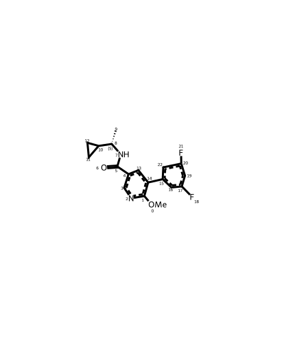 COc1ncc(C(=O)N[C@@H](C)C2CC2)cc1-c1cc(F)cc(F)c1